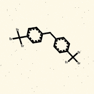 BrC(Br)(Br)c1ccc(Cc2ccc(C(Br)(Br)Br)cc2)cc1